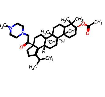 CC(=O)O[C@H]1CC[C@@]2(C)C(CC[C@]3(C)[C@@H]2CC[C@@H]2C4=C(C(C)C)CC[C@]4(C(=O)CN4CCN(C)CC4)CC[C@]23C)C1(C)C